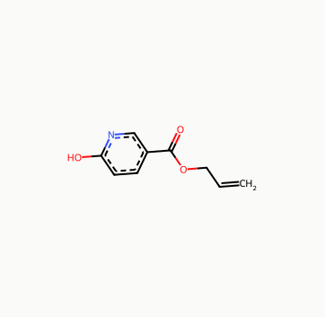 C=CCOC(=O)c1ccc(O)nc1